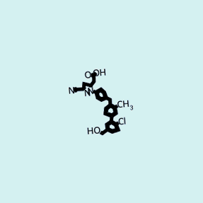 Cc1cc(-c2cc(CO)ccc2Cl)ccc1Cc1ccc(N2N=C(C#N)CC2CC(=O)O)cc1